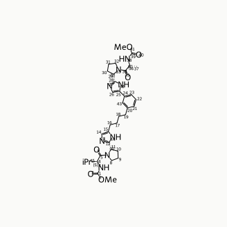 COC(=O)N[C@H](C(=O)N1CCC[C@H]1c1ncc(CCCCc2cccc(-c3cnc([C@@H]4CCCN4C(=O)[C@@H](C)NC(=O)OC)[nH]3)c2)[nH]1)C(C)C